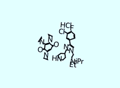 CCN(CCn1cc(-c2ccc(F)c(Cl)c2)nc1C1CCNCC1)C(C)C.Cl.O=C1C=C(N2CC2)C(=O)C(N2CC2)=C1N1CC1